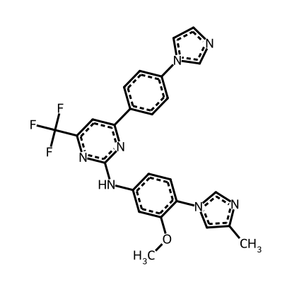 COc1cc(Nc2nc(-c3ccc(-n4ccnc4)cc3)cc(C(F)(F)F)n2)ccc1-n1cnc(C)c1